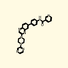 O=C(Nc1ccc(-c2ccc3ncc(N4CCN(c5cnccn5)CC4)nc3c2)cc1)c1cccnc1